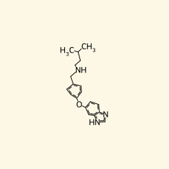 CC(C)CCNCc1ccc(Oc2ccc3nc[nH]c3c2)cc1